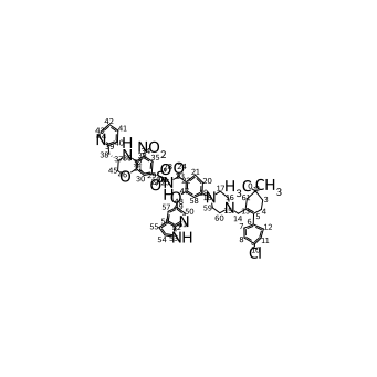 CC1(C)CCC(c2ccc(Cl)cc2)=C(CN2CCN(c3ccc(C(=O)NS(=O)(=O)c4cc5c(c([N+](=O)[O-])c4)N[C@@H](Cc4ccccn4)CO5)c(Oc4cnc5[nH]ccc5c4)c3)CC2)C1